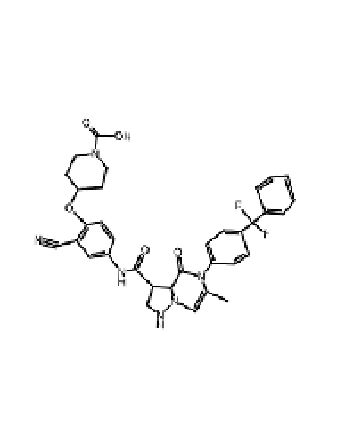 CC1=CN2NCC(C(=O)Nc3ccc(OC4CCN(C(=O)O)CC4)c(C#N)c3)C2C(=O)N1c1ccc(C(F)(F)c2ccccc2)cc1